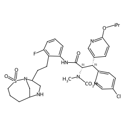 CC(C)Oc1ccc([C@H](c2ccc(Cl)cc2)[C@@H](C(=O)Nc2cccc(F)c2CCC2CNC3CCCS(=O)(=O)N2C3)N(C)C(=O)O)cn1